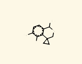 O=CC1NCC2(CC2)c2c1ccc(Br)c2F